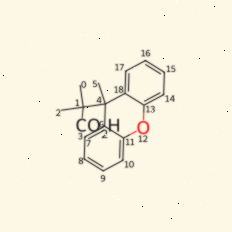 CC(C)(C(=O)O)C1(C)c2ccccc2Oc2ccccc21